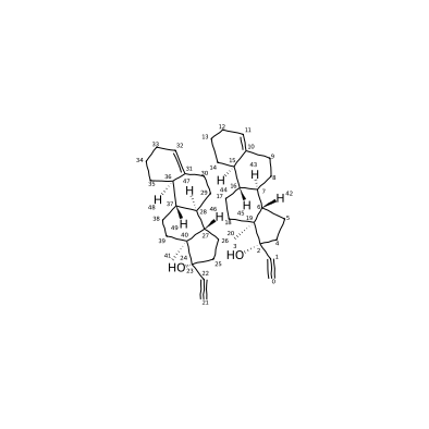 C#C[C@]1(O)CC[C@H]2[C@@H]3CCC4=CCCC[C@@H]4[C@H]3CC[C@@]21C.C#C[C@]1(O)CC[C@H]2[C@@H]3CCC4=CCCC[C@@H]4[C@H]3CC[C@@]21C